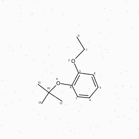 CCOc1[c]cccc1OC(C)(C)C